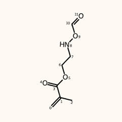 C=C(C)C(=O)OCCNO[C]=O